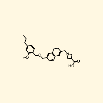 CCCc1ccc(COCc2ccc3c(c2)CCC(CN2CC(C(=O)O)C2)=C3)c(OC)c1